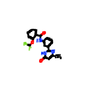 Cc1cc(=O)[nH]c(-c2cccc(NC(=O)c3ccccc3OC(F)F)c2)n1